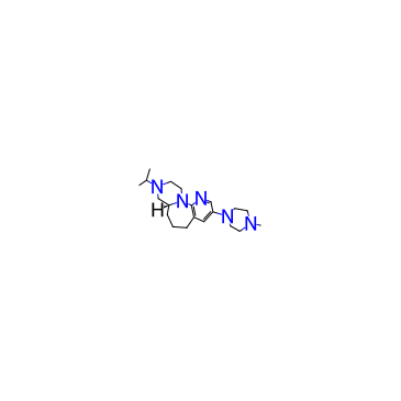 CC(C)N1CCN2c3ncc(N4CCN(C)CC4)cc3CCC[C@@H]2C1